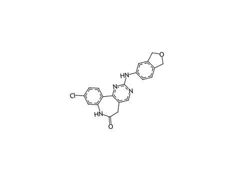 O=C1Cc2cnc(Nc3ccc4c(c3)COC4)nc2-c2ccc(Cl)cc2N1